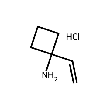 C=CC1(N)CCC1.Cl